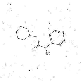 CCC(C(=O)CC1CCCCC1)c1ccncc1